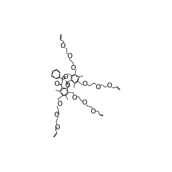 C=CCOCCOCCOCc1c(C)c(COCCOCCOCC=C)c(C)c(C(=O)P(=O)(C(=O)c2c(C)c(COCCOCCOCC=C)c(C)c(COCCOCCOCC=C)c2C)c2ccccc2)c1C